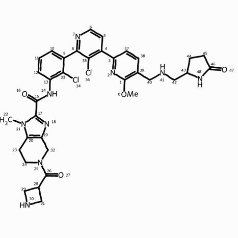 COc1nc(-c2ccnc(-c3cccc(NC(=O)c4nc5c(n4C)CCN(C(=O)C4CNC4)C5)c3Cl)c2Cl)ccc1CNCC1CCC(=O)N1